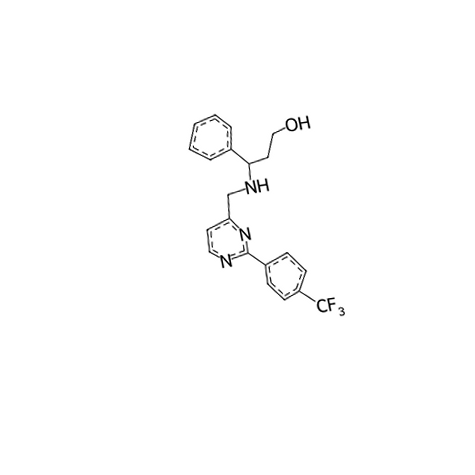 OCCC(NCc1ccnc(-c2ccc(C(F)(F)F)cc2)n1)c1ccccc1